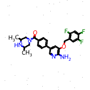 CC1CN(C(=O)c2ccc(-c3cnc(N)c(OCc4cc(F)c(F)cc4F)c3)cc2)CC(C)N1